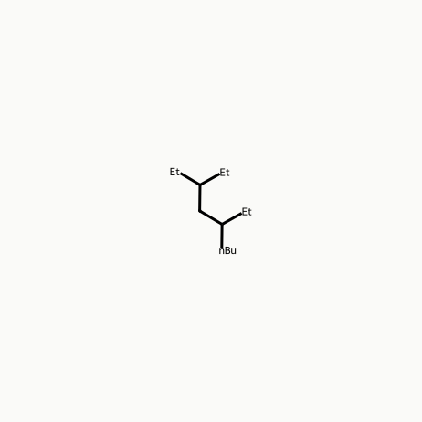 CCCCC(CC)CC(CC)CC